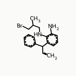 C=CC(c1ccccc1)c1cccc(N)c1NCC(C)CBr